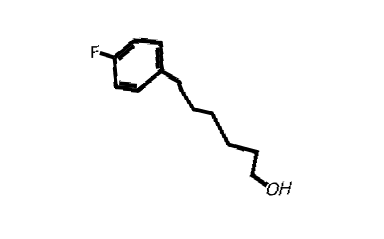 OCCCCCCc1ccc(F)cc1